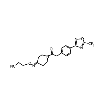 N#CCCON=C1CCN(C(=O)Cc2ccc(-c3noc(C(F)(F)F)n3)cc2)CC1